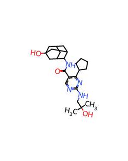 CC(C)(O)CNc1ncc(C(=O)NC2C3CC4CC2CC(O)(C4)C3)c(C2CCCC2)n1